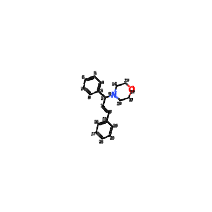 C(=C\C(c1ccccc1)N1CCOCC1)/c1ccccc1